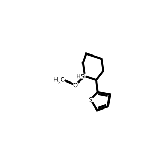 CO[SiH]1CCCCC1c1cccs1